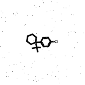 CC(C)(C)C1(c2ccc(Cl)cc2)CCCCC1